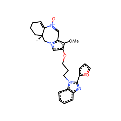 COc1c(OCCCn2c(-c3ccco3)nc3ccccc32)cn2c1C=[N+]([O-])C1=CCCC[C@H]1C2